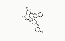 Cc1cc(C)c(C2=C(OCc3ccccc3)[C@]3(CC[C@H](Oc4ccnc(Cl)c4)CC3)OC2=O)c(C)c1